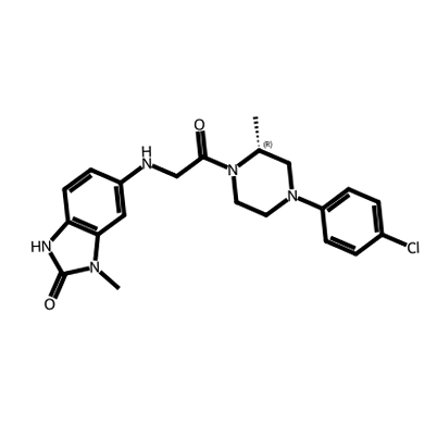 C[C@@H]1CN(c2ccc(Cl)cc2)CCN1C(=O)CNc1ccc2[nH]c(=O)n(C)c2c1